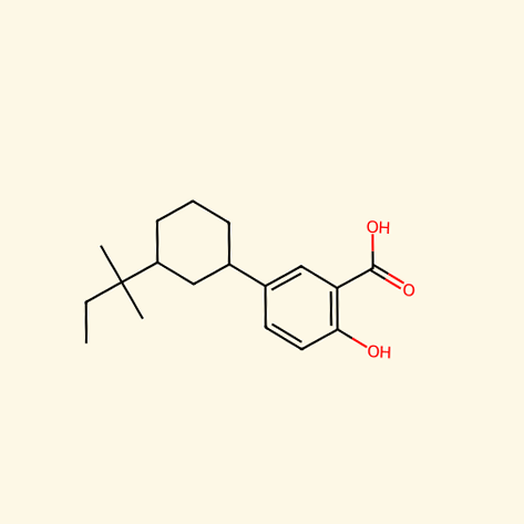 CCC(C)(C)C1CCCC(c2ccc(O)c(C(=O)O)c2)C1